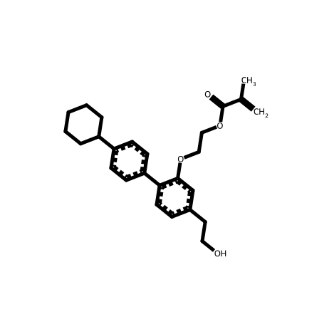 C=C(C)C(=O)OCCOc1cc(CCO)ccc1-c1ccc(C2CCCCC2)cc1